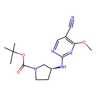 COc1nc(N[C@H]2CCN(C(=O)OC(C)(C)C)C2)ncc1C#N